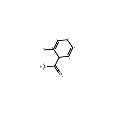 CC1=CCC=CC1C(N)=O